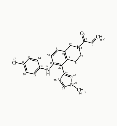 C=CC(=O)N1CCc2c(ccc(Nc3ccc(Cl)cc3)c2-c2cn(C)cn2)C1